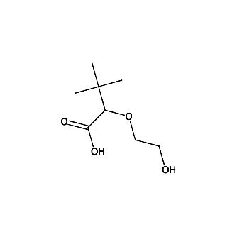 CC(C)(C)C(OCCO)C(=O)O